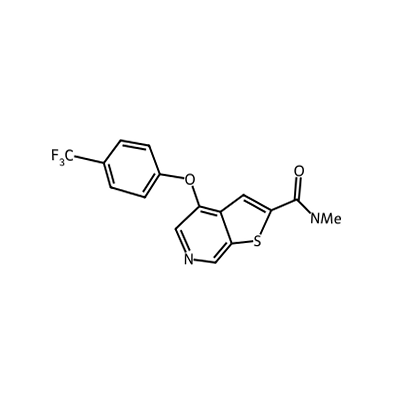 CNC(=O)c1cc2c(Oc3ccc(C(F)(F)F)cc3)cncc2s1